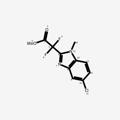 COC(=O)C(F)(F)c1nc2cc(Cl)ccc2n1C